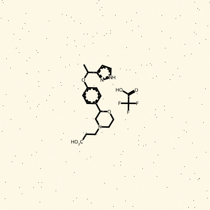 CC(Oc1ccc(C2CN(CCC(=O)O)CCO2)cc1)c1cc[nH]n1.O=C(O)C(F)(F)F